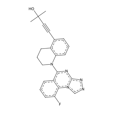 CC(C)(O)C#Cc1cccc2c1CCCN2c1nc2nncn2c2c(F)cccc12